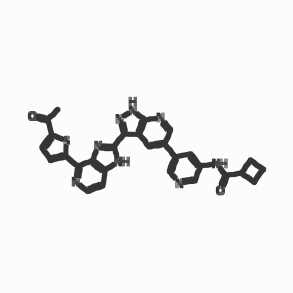 CC(=O)c1ccc(-c2nccc3[nH]c(-c4n[nH]c5ncc(-c6cncc(NC(=O)C7CCC7)c6)cc45)nc23)s1